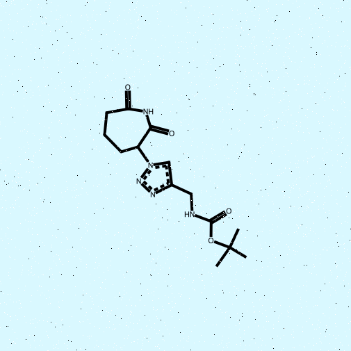 CC(C)(C)OC(=O)NCc1cn(C2CCCC(=O)NC2=O)nn1